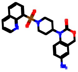 Nc1ccc2c(c1)COC(=O)N2C1CCN(S(=O)(=O)c2cccc3cccnc23)CC1